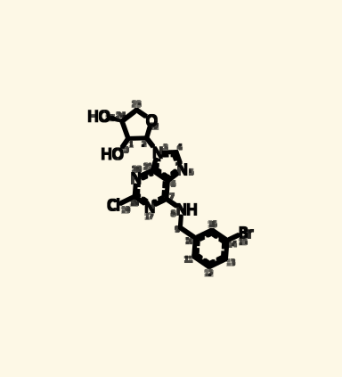 OC1C(n2cnc3c(NCc4cccc(Br)c4)nc(Cl)nc32)OC[C@@H]1O